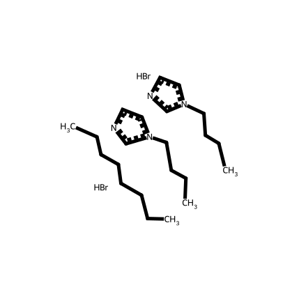 Br.Br.CCCCCCCC.CCCCn1ccnc1.CCCCn1ccnc1